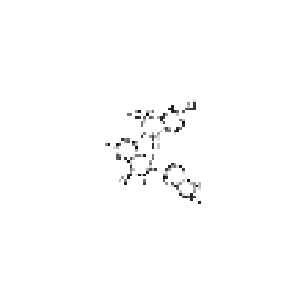 Cc1cc(C(C)Nc2ccc(Cl)nc2C(=O)O)c2oc(-c3ccc4nn(C)cc4n3)c(C)c(=O)c2c1